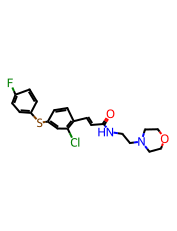 O=C(/C=C/c1ccc(Sc2ccc(F)cc2)cc1Cl)NCCN1CCOCC1